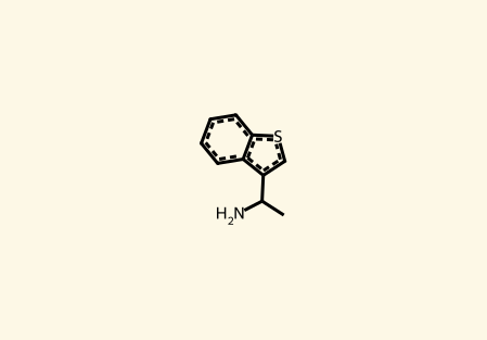 CC(N)c1csc2ccccc12